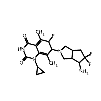 CC1=c2c(=O)[nH]c(=O)n(C3CC3)c2=C(C)C(N2CC3CC(F)(F)C(N)C3C2)C1F